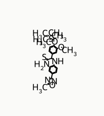 COc1cc(C(Nc2ccc(-c3noc(C)n3)cc2)C(N)=S)ccc1O[Si](C)(C)C(C)(C)C